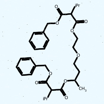 CC(CCOCCOC(=O)C(C(=O)OCc1ccccc1)C(C)C)OC(=O)C(C(=O)OCc1ccccc1)C(C)C